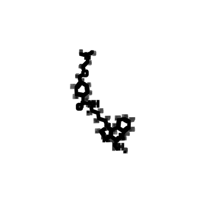 CN(C)CCOCc1ccc(C(=O)NCCCCn2cnc3c(N)nc4ccccc4c32)cc1